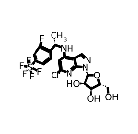 C[C@H](Nc1cc(Cl)nc2c1cnn2[C@@H]1O[C@H](CO)[C@@H](O)[C@H]1O)c1ccc(S(F)(F)(F)(F)F)cc1F